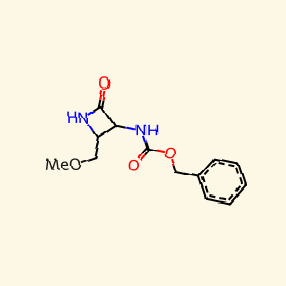 COCC1NC(=O)C1NC(=O)OCc1ccccc1